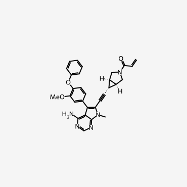 C=CC(=O)N1C[C@@H]2[C@@H](C#Cc3c(-c4ccc(Oc5ccccc5)c(OC)c4)c4c(N)ncnc4n3C)[C@@H]2C1